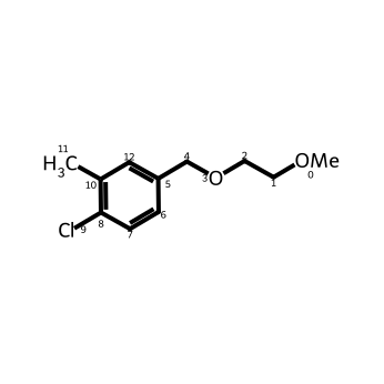 COCCOCc1ccc(Cl)c(C)c1